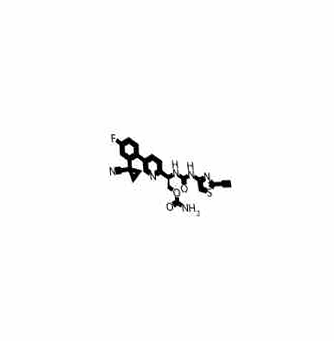 C#Cc1nc(NC(=O)N[C@@H](COC(N)=O)c2ccc(-c3ccc(F)cc3C3(C#N)CC3)cn2)cs1